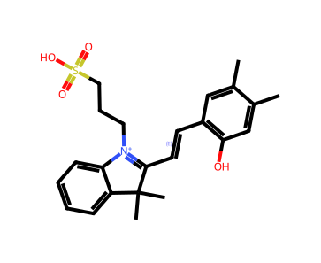 Cc1cc(O)c(/C=C/C2=[N+](CCCS(=O)(=O)O)c3ccccc3C2(C)C)cc1C